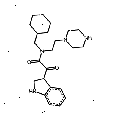 O=C(C(=O)N(CCN1CCNCC1)CC1CCCCC1)C1CNc2ccccc21